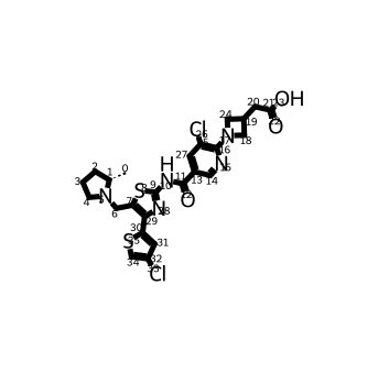 C[C@H]1CCCN1Cc1sc(NC(=O)c2cnc(N3CC(CC(=O)O)C3)c(Cl)c2)nc1-c1cc(Cl)cs1